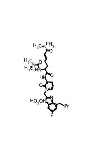 CC(C)Cc1cc(F)cc2c1nc(Cn1cccc(NC(=O)C(CCC=CC(=O)N(C)C)NC(=O)N(C)C)c1=O)n2C(=O)O